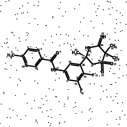 Cc1cnc(C(=O)Nc2cc(F)c(F)c([C@]3(C)CS(=O)(=O)C(C)(C)C(=N)N3)c2)cn1